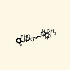 Nc1ncnc2c1ncn2CCCCOC(=O)CNCc1c(F)cccc1F